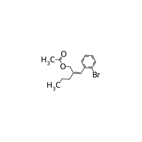 CCCC(=Cc1ccccc1Br)COC(C)=O